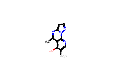 Cc1nc2ccnn2c2ncc(C(=O)O)c(O)c12